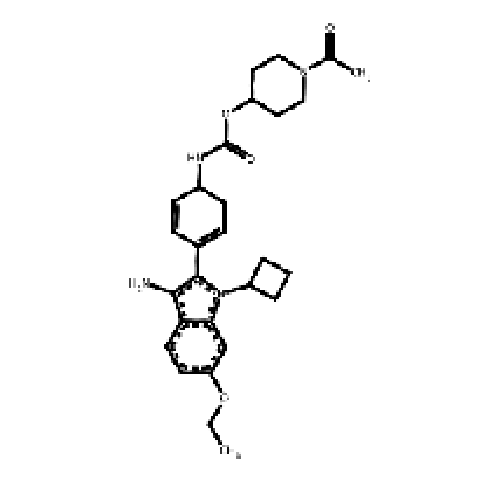 CCOc1ccc2c(N)c(C3=CCC(NC(=O)OC4CCN(C(C)=O)CC4)C=C3)n(C3CCC3)c2c1